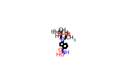 CC(C)(CN(CCO[Si](C)(C)C(C)(C)C)[C@H]1CCc2c(C(=O)NO)cccc21)[S+]=O